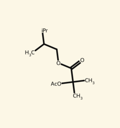 CC(=O)OC(C)(C)C(=O)OCC(C)C(C)C